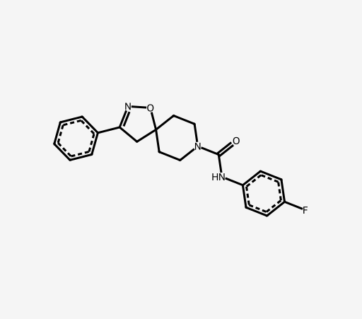 O=C(Nc1ccc(F)cc1)N1CCC2(CC1)CC(c1ccccc1)=NO2